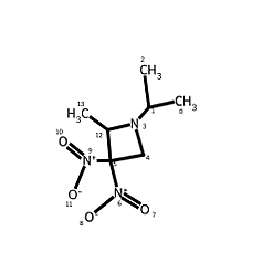 CC(C)N1CC([N+](=O)[O-])([N+](=O)[O-])C1C